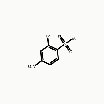 CCS(=N)(=O)c1ccc([N+](=O)[O-])cc1Br